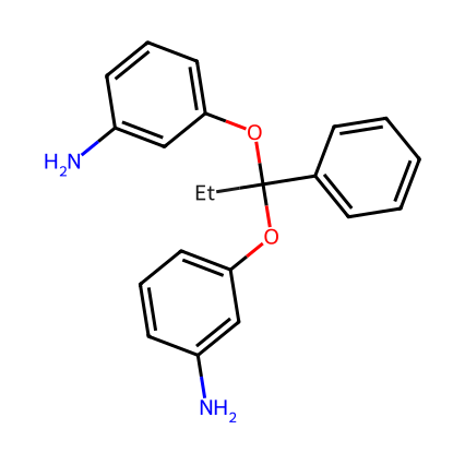 CCC(Oc1cccc(N)c1)(Oc1cccc(N)c1)c1ccccc1